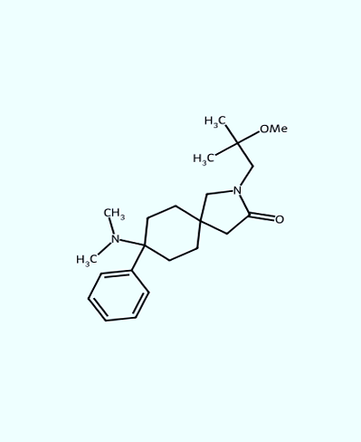 COC(C)(C)CN1CC2(CCC(c3ccccc3)(N(C)C)CC2)CC1=O